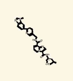 CC(C)C[C@@H](CO)NC(=O)c1cnc2c(C(=O)NCc3ccc(-c4ccc5ncn(C)c5c4)nc3)cccn12